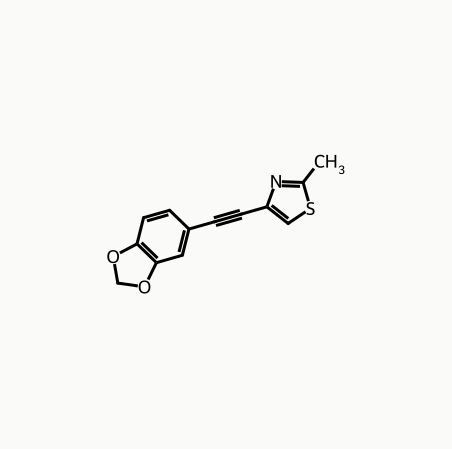 Cc1nc(C#Cc2ccc3c(c2)OCO3)cs1